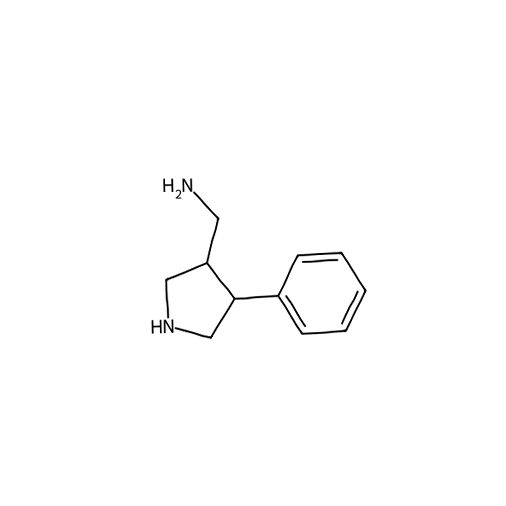 NCC1CNCC1c1ccccc1